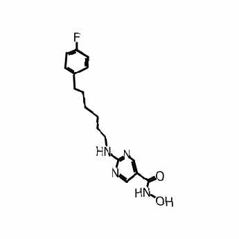 O=C(NO)c1cnc(NCCCCCCc2ccc(F)cc2)nc1